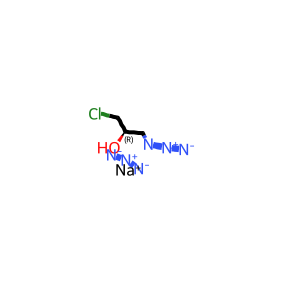 [N-]=[N+]=NC[C@@H](O)CCl.[N-]=[N+]=[N-].[Na+]